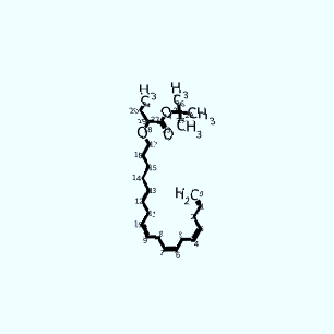 C=CC/C=C\C/C=C\C/C=C\CCCCCCCOC(CC)C(=O)OC(C)(C)C